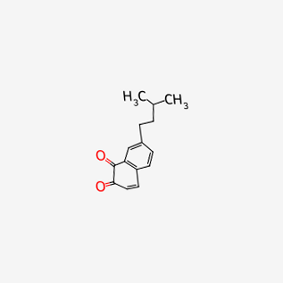 CC(C)CCc1ccc2c(c1)C(=O)C(=O)C=C2